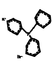 [Br-].[K+].c1ccc(P(c2ccccc2)c2ccccc2)cc1